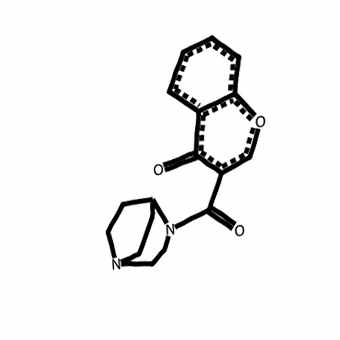 O=C(c1coc2ccccc2c1=O)N1CCN2CCC1CC2